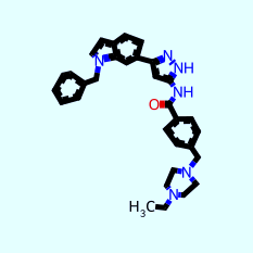 CCN1CCN(Cc2ccc(C(=O)Nc3cc(-c4ccc5ccn(Cc6ccccc6)c5c4)n[nH]3)cc2)CC1